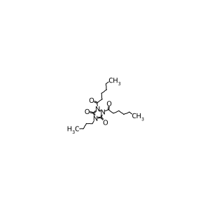 CCCCCC(=O)n1c(=O)n(CCCC)c(=O)n1C(=O)CCCCC